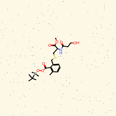 COC(=O)C(CSCc1cccc(C)c1C(=O)OO[Si](C)(C)C(C)(C)C)NC(=O)CCO